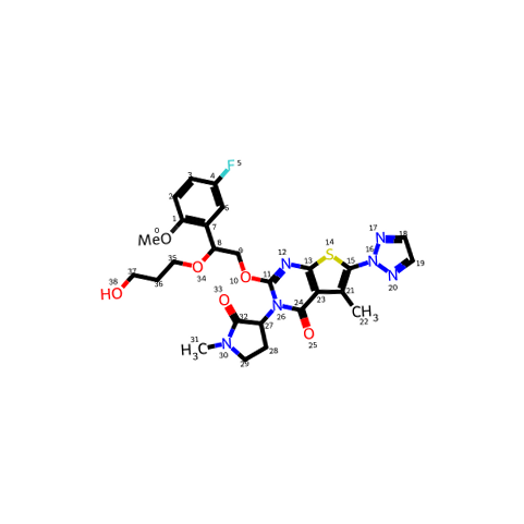 COc1ccc(F)cc1C(COc1nc2sc(-n3nccn3)c(C)c2c(=O)n1C1CCN(C)C1=O)OCCCO